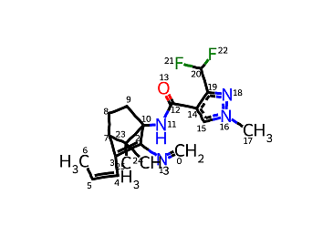 C=NC1=C(/C=C\C)C2CCC1(NC(=O)c1cn(C)nc1C(F)F)C2(C)C